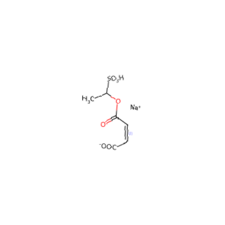 CC(OC(=O)/C=C\C(=O)[O-])S(=O)(=O)O.[Na+]